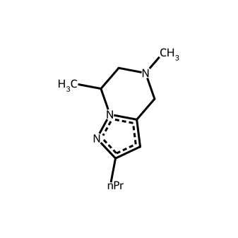 CCCc1cc2n(n1)C(C)CN(C)C2